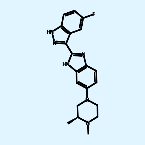 C[C@H]1CN(c2ccc3nc(-c4n[nH]c5ccc(F)cc45)[nH]c3c2)CCN1C